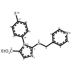 CCOC(=O)c1cnc(SCc2ccncc2)n1-c1ccc(F)cc1